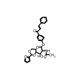 CC(=O)NC1C(Oc2ccc(C(=O)C=Cc3ccccc3)cc2)OC2COC(c3ccco3)OC2C1O